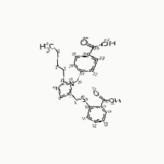 CCCCc1ncc(CSc2ccccc2C(=O)O)n1Cc1ccc(C(=O)O)cc1